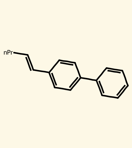 CCCC=Cc1ccc(-c2ccccc2)cc1